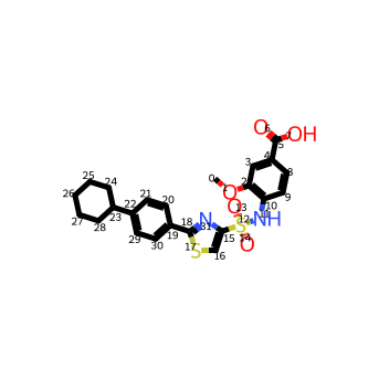 COc1cc(C(=O)O)ccc1NS(=O)(=O)c1csc(-c2ccc(C3CCCCC3)cc2)n1